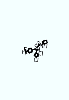 O=C(NC1CC2CCC1C2)c1nc(-c2ccc(Cl)cc2Cl)c(-c2ccc(C(F)(F)F)cc2)s1